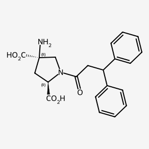 N[C@]1(C(=O)O)C[C@H](C(=O)O)N(C(=O)CC(c2ccccc2)c2ccccc2)C1